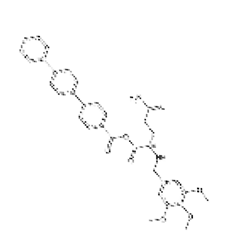 COc1cc(CN[C@@H](CCC(N)=O)C(=O)OC(=O)c2ccc(-c3ccc(-c4ccccc4)cc3)cc2)cc(OC)c1OC